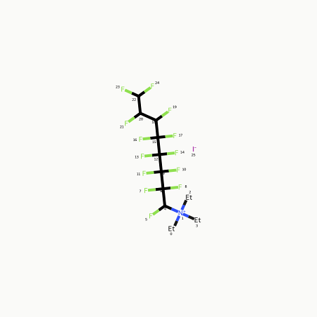 CC[N+](CC)(CC)C(F)C(F)(F)C(F)(F)C(F)(F)C(F)(F)C(F)C(F)C(F)F.[I-]